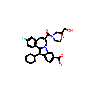 O=C(O)c1ccc2c(C3CCCCC3)c3n(c2c1)CC(C(=O)N1CCOC(CO)C1)=Cc1cc(F)ccc1-3